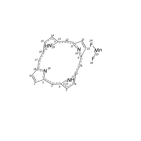 C1=Cc2cc3ccc(cc4nc(cc5ccc(cc1n2)[nH]5)C=C4)[nH]3.[F][Mn][F]